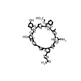 Cc1sc2nc1C(=O)N[C@@H]([C@H](OCC(=O)O)c1ccccc1)c1nc(cs1)C(=O)N[C@@H](Cc1ccc(O)cc1)C(=O)N1C[C@H](O)[C@H](C)[C@H]1c1nc(cs1)-c1nc(cs1)-c1nc(-c3nc(C(N)=O)cs3)ccc1-c1nc(cs1)C(=O)N[C@H]2CC(N)=O